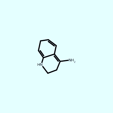 NC1=C2C=CCC=C2NCC1